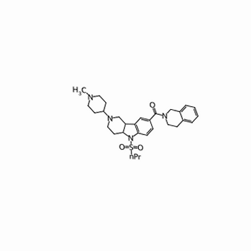 CCCS(=O)(=O)N1c2ccc(C(=O)N3CCc4ccccc4C3)cc2C2CN(C3CCN(C)CC3)CCC21